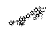 CCCCn1c(C)c(C(=O)O)c(-c2cccc(N3CCN(c4ccc(NSc5ccc(NCCSc6ccccc6)c(S(=O)(=O)C(F)(F)F)c5)cc4)CC3)c2)c1-c1ccc(Cl)cc1